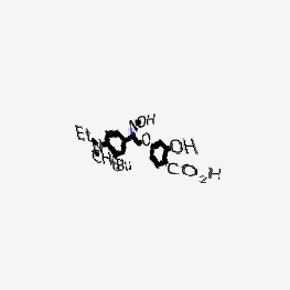 CCN(C)c1ccc(/C(COc2ccc(C(=O)O)c(O)c2)=N/O)cc1C(C)(C)C